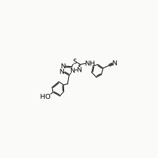 N#Cc1cccc(Nc2nn3c(Cc4ccc(O)cc4)nnc3s2)c1